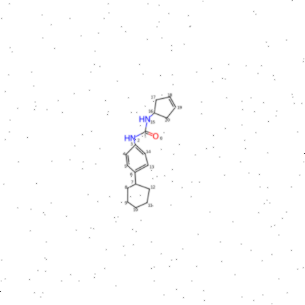 O=C(Nc1ccc(C2CCCCC2)cc1)NC1CC=CC1